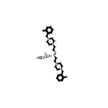 Cc1ccccc1CN1CCN(CCSSCCN2CCN(Cc3ccccc3C)CC2)CC1.Cl.Cl.Cl.Cl